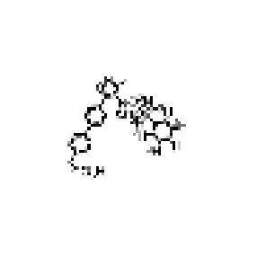 [2H]c1c([2H])c([2H])c(C([2H])([2H])C([2H])([2H])ON(C=O)c2c(C)noc2-c2ccc(-c3ccc(CC(=O)O)cc3)cc2)c([2H])c1[2H]